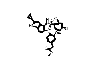 COC(=O)Cc1ccc(Oc2ccc3[nH]c(C4CC4)cc3c2NS(=O)(=O)c2ccc(Cl)cc2Cl)c(OC)c1